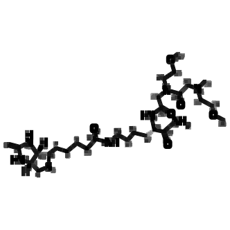 C=C1N[C@H]2CSC(CCCCC(=O)NCCCC[C@H](NC(=O)CN(CCOC)C(=O)CN(C)CCOC)C(N)=O)[C@H]2N1